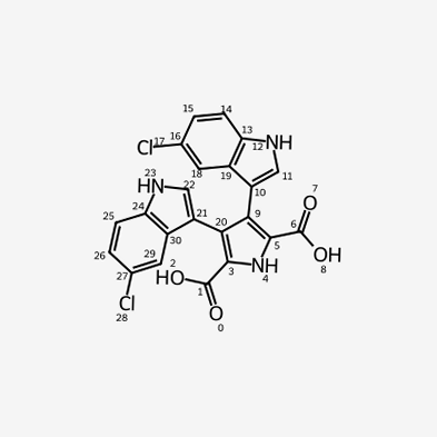 O=C(O)c1[nH]c(C(=O)O)c(-c2c[nH]c3ccc(Cl)cc23)c1-c1c[nH]c2ccc(Cl)cc12